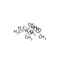 CCCN(CCC)C(CC)(CC)C(C)NC(=O)c1cc(CC)on1